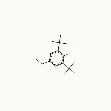 CCc1cc(C(C)(C)C)c([O])c(C(C)(C)C)c1